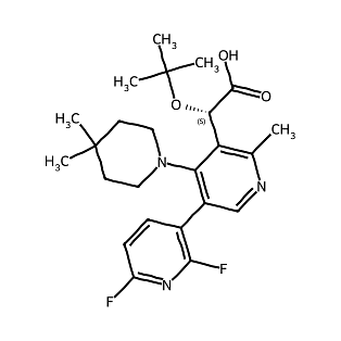 Cc1ncc(-c2ccc(F)nc2F)c(N2CCC(C)(C)CC2)c1[C@H](OC(C)(C)C)C(=O)O